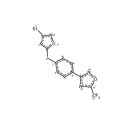 CCc1cc(Cc2ccc(-c3noc(C(F)(F)F)n3)cc2)on1